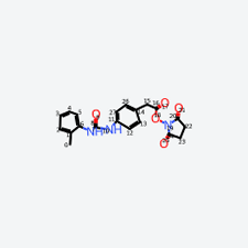 Cc1ccccc1NC(=O)Nc1ccc(CC(=O)ON2C(=O)CCC2=O)cc1